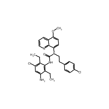 CCc1c(N)cc(Cl)c(CC)c1NC(=O)N(CCc1ccc(Cl)cc1)c1ccc(OC)c2cccnc12